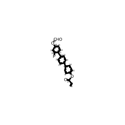 C=CC(=O)Oc1ccc(-c2ccc(-c3ccc(OC=O)cc3F)cc2)cc1